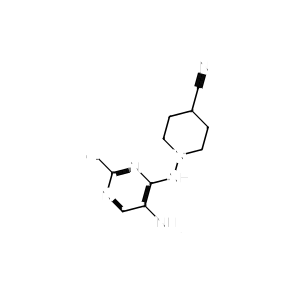 N#CC1CCN(Nc2nc(Cl)ncc2N)CC1